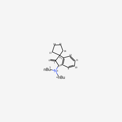 C=C(CN(CCCC)CCCC)C1(c2ccccc2)CCCC1